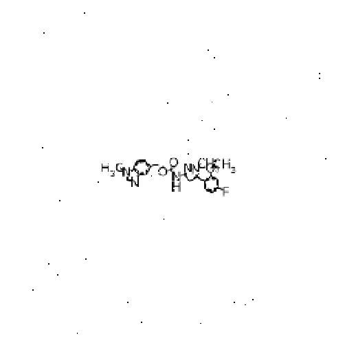 COc1cc(F)ccc1C1CC(NC(=O)OCc2ccc3c(c2)ncn3C)=NN1C